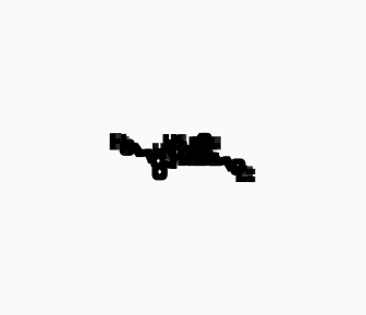 CCCCC(CCCC)(C(=O)OCCCCOCC)[CH](S)[Sn][CH](S)CC(=O)OCCCCOCC